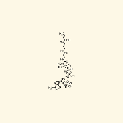 CC=CC(O)C(=O)SCCNC(=O)CCNC(=O)[C@H](O)C(C)(C)COP(=O)(O)OP(=O)(O)OC[C@H]1O[C@@H](n2cnc3c(N)ncnc32)[C@H](O)[C@@H]1OP(=O)(O)O